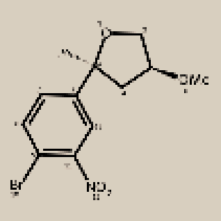 CO[C@@H]1CO[C@](C)(c2ccc(Br)c([N+](=O)[O-])c2)C1